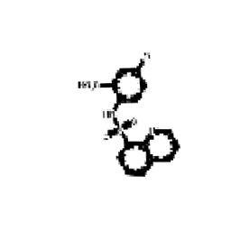 CCc1ccc(NS(=O)(=O)c2cccc3cccnc23)c(C(=O)O)c1